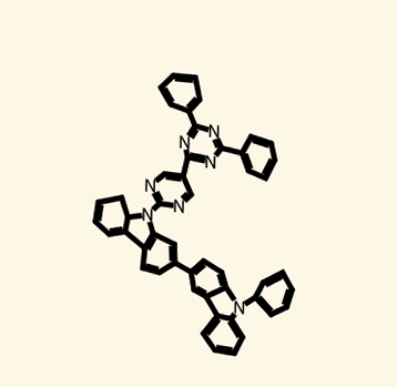 C1=CCC2C(=C1)c1ccc(-c3ccc4c(c3)c3ccccc3n4-c3ccccc3)cc1N2c1ncc(-c2nc(-c3ccccc3)nc(-c3ccccc3)n2)cn1